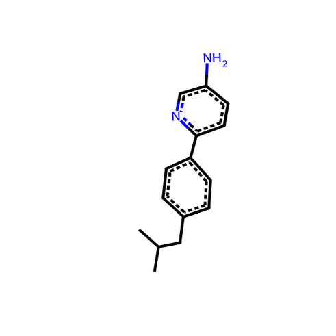 CC(C)Cc1ccc(-c2ccc(N)cn2)cc1